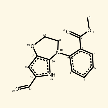 COC(=O)c1ccccc1N1CCOc2cc(C=O)[nH]c21